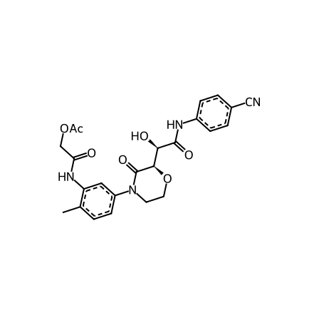 CC(=O)OCC(=O)Nc1cc(N2CCO[C@H]([C@@H](O)C(=O)Nc3ccc(C#N)cc3)C2=O)ccc1C